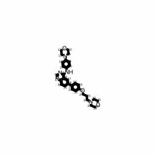 c1nc(Nc2ccc(N3CCOCC3)cc2)c2cc(-c3ccc(OCCCN4CCOCC4)cc3)ccc2n1